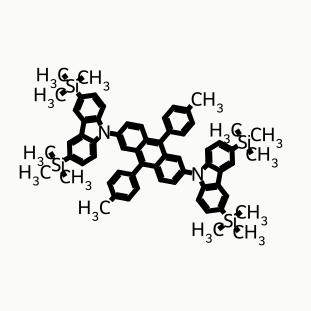 Cc1ccc(-c2c3ccc(-n4c5ccc([Si](C)(C)C)cc5c5cc([Si](C)(C)C)ccc54)cc3c(-c3ccc(C)cc3)c3ccc(-n4c5ccc([Si](C)(C)C)cc5c5cc([Si](C)(C)C)ccc54)cc23)cc1